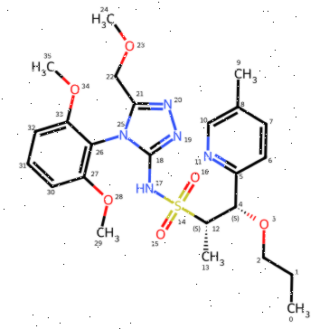 CCCO[C@@H](c1ccc(C)cn1)[C@H](C)S(=O)(=O)Nc1nnc(COC)n1-c1c(OC)cccc1OC